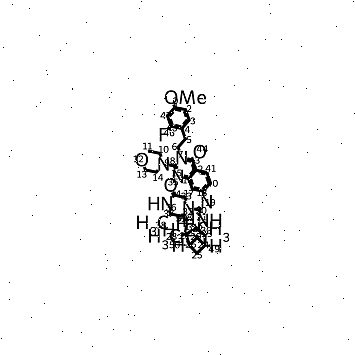 COc1ccc(CCn2c(N3CCOCC3)nc3cc(N=C(N[C@H]4C[C@@H]5C[C@@H]([C@H]4C)C5(C)C)N4CC(=O)N[C@@H](C)C4)ccc3c2=O)c(F)c1